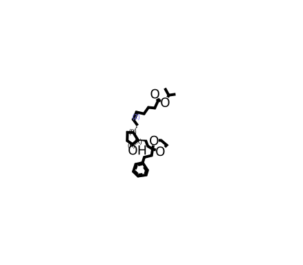 CC(C)OC(=O)CCC/C=C\C[C@H]1CC[C@@H](O)[C@@H]1CCC1(CCc2ccccc2)OCCO1